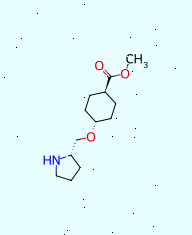 COC(=O)[C@H]1CC[C@H](OC[C@@H]2CCCN2)CC1